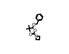 CC(C)(C)C(OCc1ccccc1)OC(=O)N1CCC1